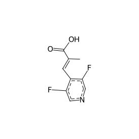 CC(=Cc1c(F)cncc1F)C(=O)O